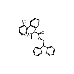 CCc1ccccc1-c1ccncc1N(C(=O)OCC1c2ccccc2-c2ccccc21)[C@@H](C)C(=O)O